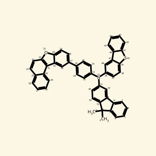 CC1(C)c2ccccc2-c2cc(N(c3ccc(-c4ccc5oc6ccc7ccccc7c6c5c4)cc3)c3ccc4sc5ccccc5c4c3)ccc21